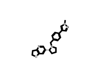 Cn1cc(-c2ccc(CN3CCC[C@@H]3c3cnc4c(c3)OCC4)cc2)cn1